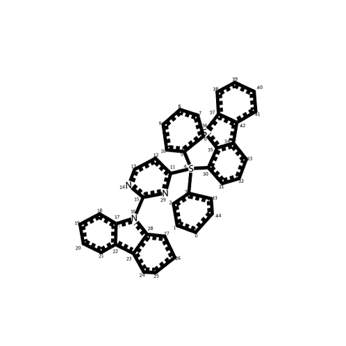 c1ccc(S(c2ccccc2)(c2ccnc(-n3c4ccccc4c4ccccc43)n2)c2cccc3c2sc2ccccc23)cc1